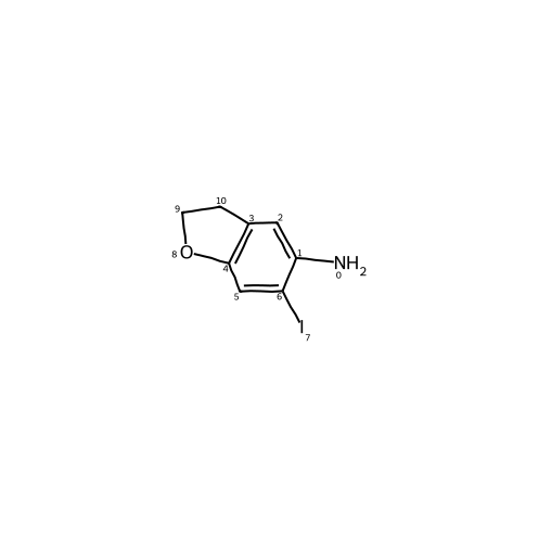 Nc1cc2c(cc1I)OCC2